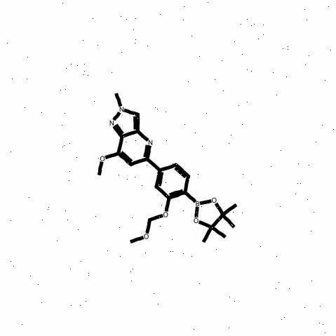 COCOc1cc(-c2cc(OC)c3nn(C)cc3n2)ccc1B1OC(C)(C)C(C)(C)O1